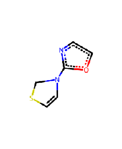 C1=CN(c2ncco2)CS1